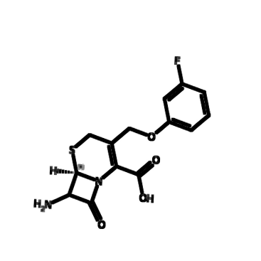 NC1C(=O)N2C(C(=O)O)=C(COc3cccc(F)c3)CS[C@H]12